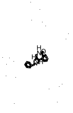 O=C1NC[C@H]2CN(Cc3ccccc3)C[C@@H]2c2ccccc21